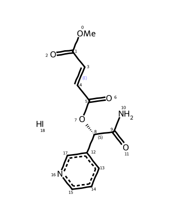 COC(=O)/C=C/C(=O)O[C@H](C(N)=O)c1cccnc1.I